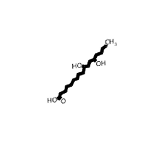 CCCCCC(O)CCC(O)CCCCCCCCC(=O)O